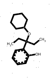 CCC(CC)(OC1CCCCC1)c1ccccc1O